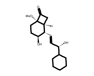 CO[C@@]12CC[C@H](O)[C@@H](/C=C/[C@H](O)C3CCCCC3)[C@@H]1CC2=O